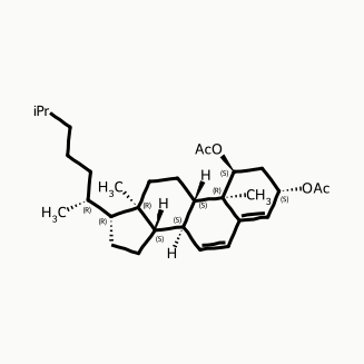 CC(=O)O[C@@H]1C=C2C=C[C@H]3[C@@H]4CC[C@H]([C@H](C)CCCC(C)C)[C@@]4(C)CC[C@@H]3[C@@]2(C)[C@@H](OC(C)=O)C1